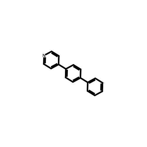 [c]1cccc(-c2ccc(-c3ccncc3)cc2)c1